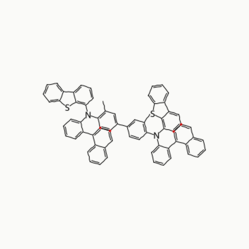 Cc1cc(-c2ccc(N(c3ccccc3-c3cccc4ccccc34)c3cccc4c3sc3ccccc34)c(C)c2)ccc1N(c1ccccc1-c1cccc2ccccc12)c1cccc2c1sc1ccccc12